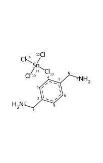 NCc1ccc(CN)cc1.[Cl][Sn]([Cl])([Cl])[Cl]